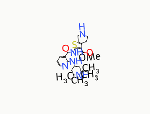 COC(=O)c1c(NC(=O)c2cccnc2NC2CC(C)(C)NC(C)(C)C2)sc2c1CCNC2